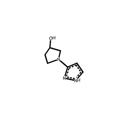 OC1CCN(c2cc[nH]n2)C1